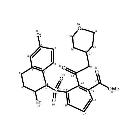 CCc1ccc2c(c1)CCC(CC)N2S(=O)(=O)c1cccc(C(=O)OC)c1C(=O)CC1CCOCC1